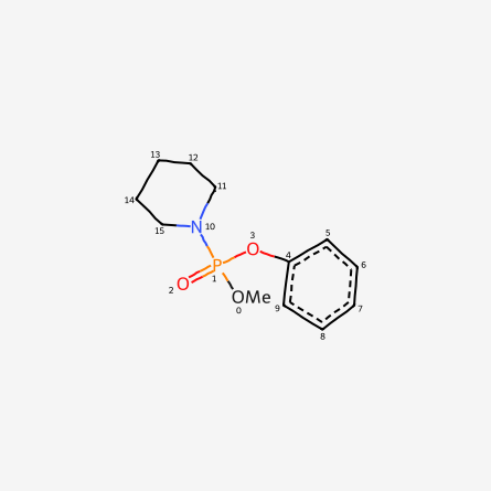 COP(=O)(Oc1ccccc1)N1[CH]CCCC1